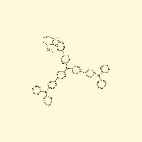 CC1CC=Cc2sc3ccc(-c4ccc(N(c5ccc(-c6ccc(N(c7ccccc7)c7ccccc7)cc6)cc5)c5ccc(-c6ccc(N(c7ccccc7)c7ccccc7)cc6)cc5)cc4)cc3c21